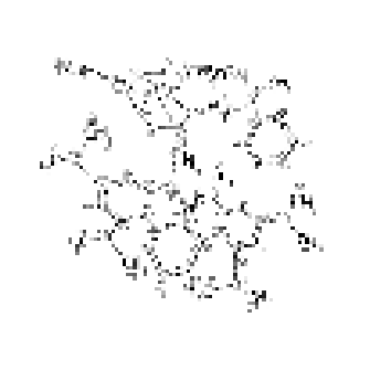 CC#N.CC(C)([CH]=[Mo+2]=[N]C12CC3CC(CC(C3)C1)C2)c1ccccc1.CC(C)c1cc(C(C)C)c(-c2cccc(-c3c(C(C)C)cc(C(C)C)cc3C(C)C)c2[O-])c(C(C)C)c1.[Cl-]